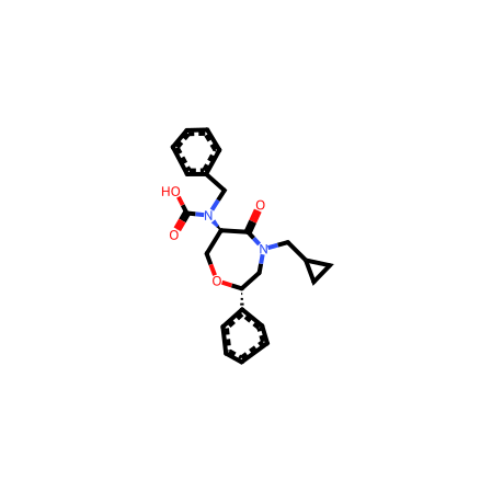 O=C1[C@H](N(Cc2ccccc2)C(=O)O)CO[C@@H](c2ccccc2)CN1CC1CC1